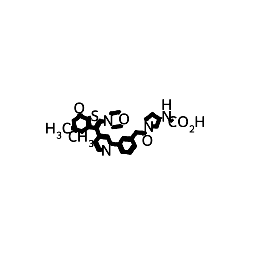 CC1(C)CC(=O)c2sc(N3CCOCC3)c(-c3ccnc(-c4cccc(CC(=O)N5CC[C@H](NC(=O)O)C5)c4)c3)c2C1